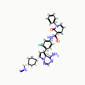 C=NC[C@H]1CC[C@@H](c2cc(-c3ccc(NC(=O)c4cccn(-c5ccccc5)c4=O)cc3F)c3c(N)ncnn32)CC1